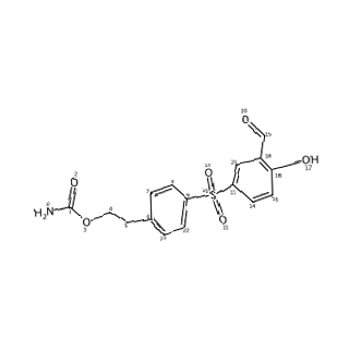 NC(=O)OCCc1ccc(S(=O)(=O)c2ccc(O)c(C=O)c2)cc1